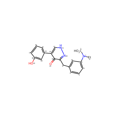 CCN(C(=O)O)c1cccc(Cc2n[nH]cc(-c3cccc(O)c3)c2=O)c1